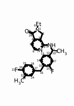 CCN1Cc2c(ccnc2N[C@@H](C)c2ccc(Cc3ccc(F)c(C)c3)c(F)c2)C1=O